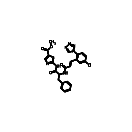 COC(=O)c1cnc(NC(=O)C(Cc2ccccc2)NC(=O)C=Cc2cc(Cl)ccc2-n2cnnn2)s1